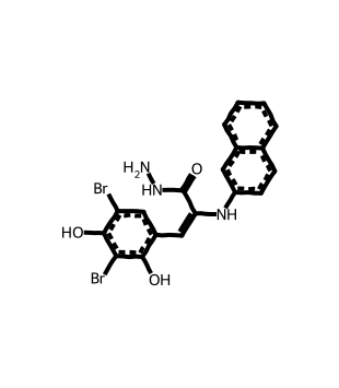 NNC(=O)/C(=C\c1cc(Br)c(O)c(Br)c1O)Nc1ccc2ccccc2c1